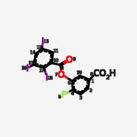 O=C(O)c1ccc(F)c(OC(=O)c2cc(I)cc(I)c2I)c1